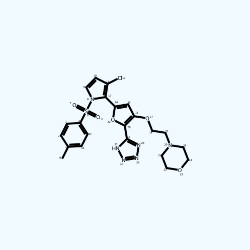 Cc1ccc(S(=O)(=O)n2ccc(Cl)c2-c2cc(OCCN3CCOCC3)c(-c3nnn[nH]3)o2)cc1